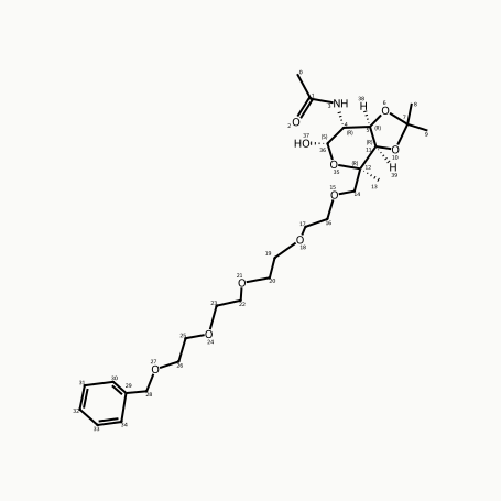 CC(=O)N[C@@H]1[C@H]2OC(C)(C)O[C@H]2[C@@](C)(COCCOCCOCCOCCOCc2ccccc2)O[C@@H]1O